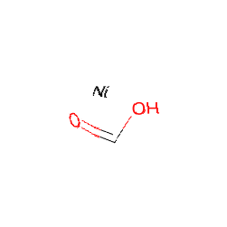 O=CO.[Ni]